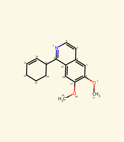 COc1cc2ccnc(C3C=CCCC3)c2cc1OC